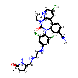 CCN1C(=O)N(c2c(F)cc(NCCNCC3CCC(=O)N3)cc2F)c2cc(C#N)ccc2-c2cc(Cl)cnc21